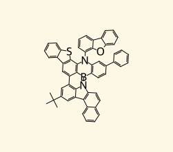 CC(C)(C)c1cc2c3c(c1)c1c4ccccc4ccc1n3B1c3ccc(-c4ccccc4)cc3N(c3cccc4c3oc3ccccc34)c3c1c-2cc1c3sc2ccccc21